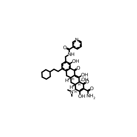 CN(C)[C@H]1C(O)=C(C(N)=O)C(=O)[C@]2(O)C(O)=C3C(=O)c4c(O)c(CNC(=O)c5cccnc5)cc(CCC5CCCCC5)c4C[C@H]3C[C@@H]12